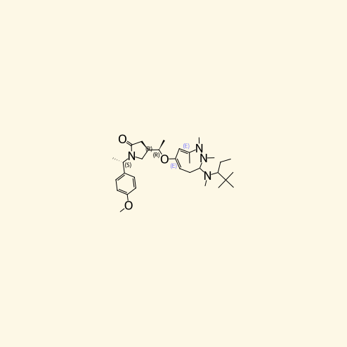 CCC(N(C)C1C/C=C(O[C@H](C)[C@@H]2CC(=O)N([C@@H](C)c3ccc(OC)cc3)C2)\C=C(/C)N(C)N1C)C(C)(C)C